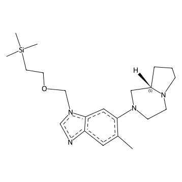 Cc1cc2ncn(COCC[Si](C)(C)C)c2cc1N1CCN2CCC[C@H]2C1